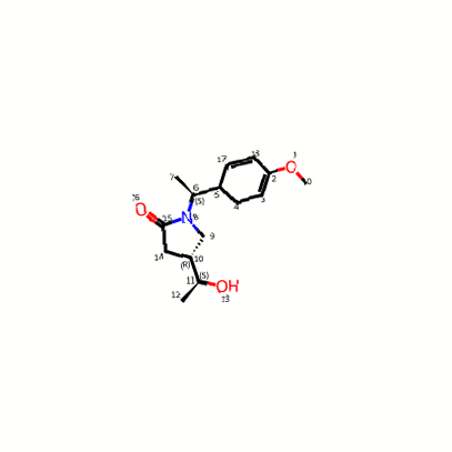 COC1=CCC([C@H](C)N2C[C@H]([C@H](C)O)CC2=O)C=C1